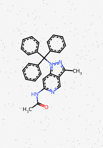 CC(=O)Nc1cc2c(cn1)c(C)nn2C(c1ccccc1)(c1ccccc1)c1ccccc1